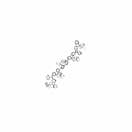 CC1(C)c2cc(-c3ccc4c(c3)C(C)(C)c3cc(N(c5ccccc5)c5ccc6c(c5)C(C)(C)c5ccccc5-6)ccc3-4)ccc2-c2ccc(-c3ccc4c(c3)C(C)(C)c3cc(N(c5ccccc5)c5ccc6c(c5)C(C)(C)c5ccccc5-6)ccc3-4)cc21